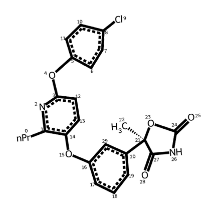 CCCc1nc(Oc2ccc(Cl)cc2)ccc1Oc1cccc([C@@]2(C)OC(=O)NC2=O)c1